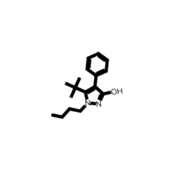 CCCCn1nc(O)c(-c2ccccc2)c1C(C)(C)C